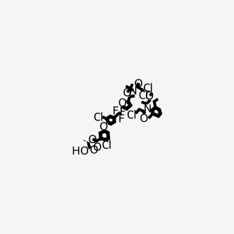 CC1(C)OC(c2ccco2)CN1C(=O)C(Cl)Cl.CCc1cccc(C)c1N(C(=O)CCl)C(C)COC.C[C@H](OC(=O)c1cc(Oc2ccc(C(F)(F)F)cc2Cl)ccc1Cl)C(=O)O